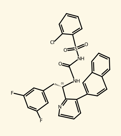 O=C(N[C@@H](Cc1cc(F)cc(F)c1)c1ncccc1-c1ccc2ccccc2c1)NS(=O)(=O)c1ccccc1Cl